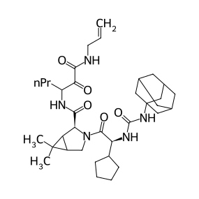 C=CCNC(=O)C(=O)C(CCC)NC(=O)[C@@H]1C2C(CN1C(=O)[C@@H](NC(=O)NC13CC4CC(CC(C4)C1)C3)C1CCCC1)C2(C)C